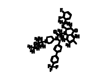 [2H]c1c(C)c([2H])c2c(=O)c([2H])c(SC([2H])([2H])c3cccc(F)c3F)n(C([2H])([2H])C(=O)N(Cc3ccc(-c4ccc(C(F)(F)F)cc4)cc3)C3CCN(C([2H])([2H])C([2H])([2H])OC([2H])([2H])[2H])CC3)c2c1[2H]